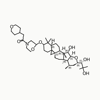 C[C@@H]1C[C@H]([C@H](O)C(C)(C)O)O[C@H]2C1[C@@]1(C)CC[C@@]34CC35CCC(OC3CN(C(=O)CC6CCOCC6)CCO3)C(C)(C)[C@@H]5CC[C@H]4[C@]1(C)[C@H]2O